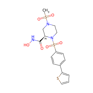 CS(=O)(=O)N1CCN(S(=O)(=O)c2ccc(-c3cccs3)cc2)[C@@H](C(=O)NO)C1